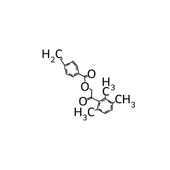 C=Cc1ccc(C(=O)OCC(=O)c2c(C)ccc(C)c2C)cc1